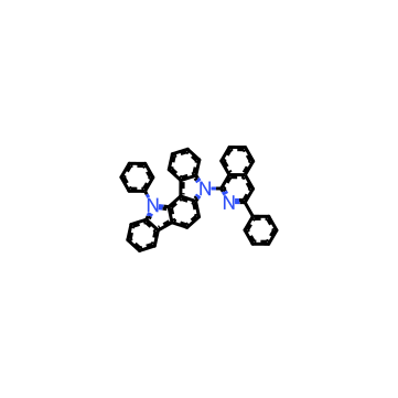 c1ccc(-c2cc3ccccc3c(-n3c4ccccc4c4c3ccc3c5ccccc5n(-c5ccccc5)c34)n2)cc1